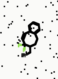 CC(C)CC1CCc2ccccc2C#CC1(F)F